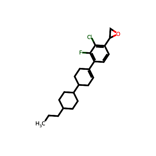 CCCC1CCC(C2CC=C(c3ccc(C4CO4)c(Cl)c3F)CC2)CC1